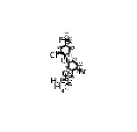 COP(C)(=O)Cc1cc(Oc2ccc(C(F)(F)F)cc2Cl)ccc1Br